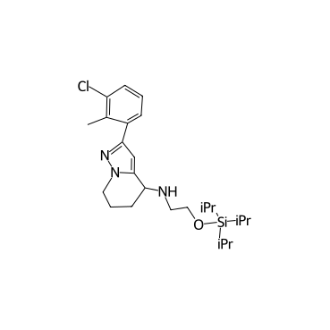 Cc1c(Cl)cccc1-c1cc2n(n1)CCCC2NCCO[Si](C(C)C)(C(C)C)C(C)C